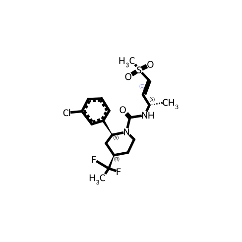 C[C@@H](/C=C/S(C)(=O)=O)NC(=O)N1CC[C@@H](C(C)(F)F)C[C@H]1c1cccc(Cl)c1